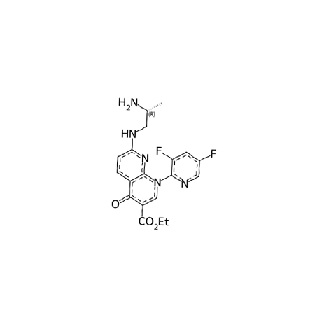 CCOC(=O)c1cn(-c2ncc(F)cc2F)c2nc(NC[C@@H](C)N)ccc2c1=O